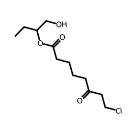 CCC(CO)OC(=O)CCCCC(=O)CCCl